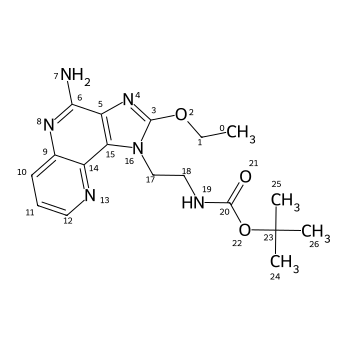 CCOc1nc2c(N)nc3cccnc3c2n1CCNC(=O)OC(C)(C)C